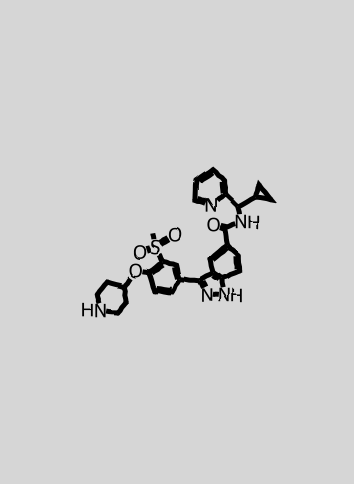 CS(=O)(=O)c1cc(-c2n[nH]c3ccc(C(=O)NC(c4ccccn4)C4CC4)cc23)ccc1OC1CCNCC1